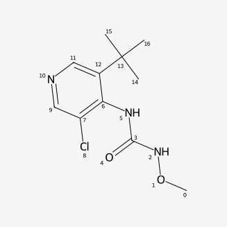 CONC(=O)Nc1c(Cl)cncc1C(C)(C)C